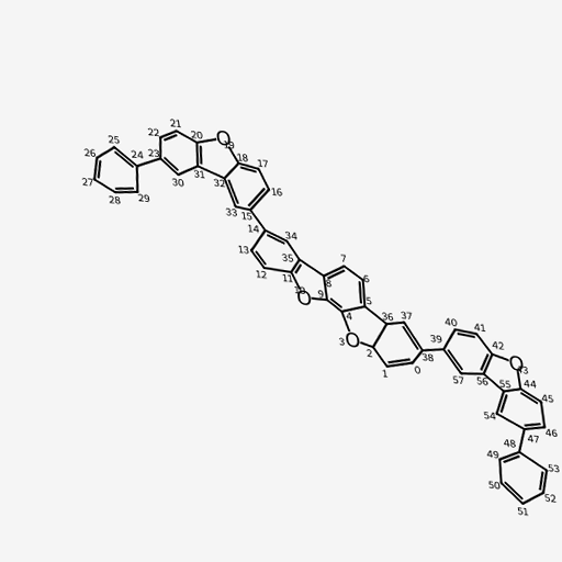 C1=CC2Oc3c(ccc4c3oc3ccc(-c5ccc6oc7ccc(-c8ccccc8)cc7c6c5)cc34)C2C=C1c1ccc2oc3ccc(-c4ccccc4)cc3c2c1